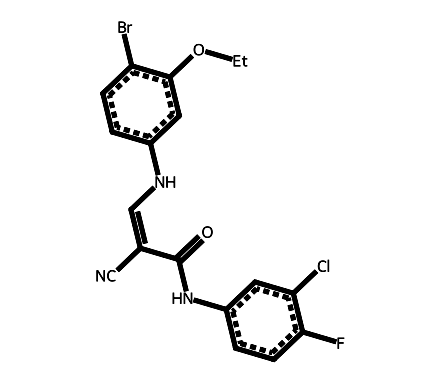 CCOc1cc(NC=C(C#N)C(=O)Nc2ccc(F)c(Cl)c2)ccc1Br